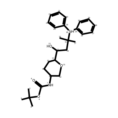 CC(C)(C)OC(=O)NC1CCC(C(O)CC(C)(C)[SiH](c2ccccc2)c2ccccc2)OC1